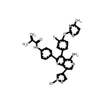 C=C(C)C(=O)Nc1ccc(-c2sc3c(-c4cnn(CC)c4)cnc(N)c3c2-c2ccc(Oc3nccc(C)n3)c(F)c2)cc1